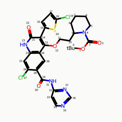 CC(C)(C)OC(=O)N1CCCCC1CCOc1c(-c2ccc(Cl)s2)c(=O)[nH]c2cc(Cl)c(C(=O)Nc3ccncn3)cc12